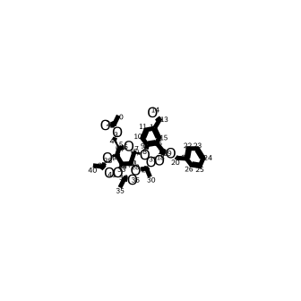 CC(=O)OC[C@H]1O[C@@H](Oc2ccc(C=O)cc2C(=O)OCc2ccccc2)[C@H](OC(C)=O)[C@@H](OC(C)=O)[C@H]1OC(C)=O